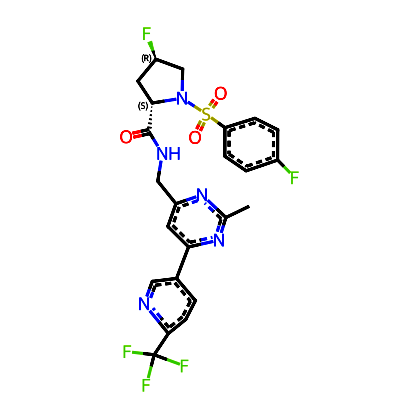 Cc1nc(CNC(=O)[C@@H]2C[C@@H](F)CN2S(=O)(=O)c2ccc(F)cc2)cc(-c2ccc(C(F)(F)F)nc2)n1